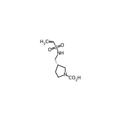 C=CS(=O)(=O)NC[C@H]1CCN(C(=O)O)C1